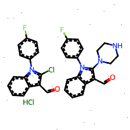 Cl.O=Cc1c(Cl)n(-c2ccc(F)cc2)c2ccccc12.O=Cc1c(N2CCNCC2)n(-c2ccc(F)cc2)c2ccccc12